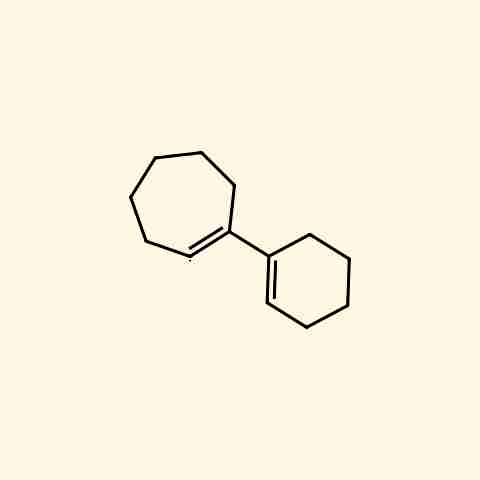 [C]1=C(C2=CCCCC2)CCCCC1